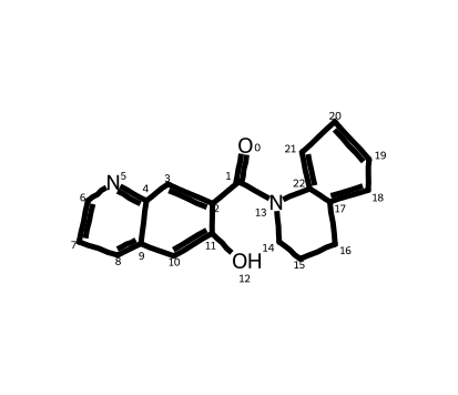 O=C(c1cc2ncccc2cc1O)N1CCCc2ccccc21